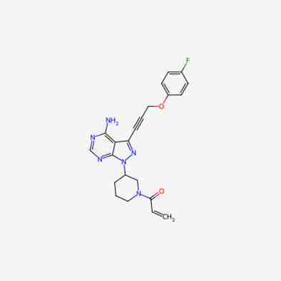 C=CC(=O)N1CCCC(n2nc(C#CCOc3ccc(F)cc3)c3c(N)ncnc32)C1